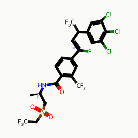 C[C@H](CS(=O)(=O)CC(F)(F)F)NC(=O)c1ccc(/C(F)=C/C(c2cc(Cl)c(Cl)c(Cl)c2)C(F)(F)F)cc1C(F)(F)F